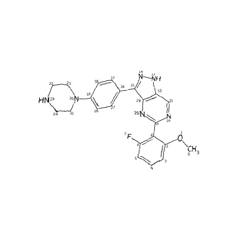 COc1cccc(F)c1-c1ncc2[nH]nc(-c3ccc(N4CCNCC4)cc3)c2n1